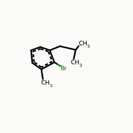 Cc1cccc(CC(C)C)c1Br